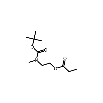 CCC(=O)OCCN(C)C(=O)OC(C)(C)C